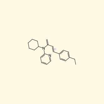 C=C(/C=C/c1ccc(CC)cc1)N(c1ccccn1)C1CCCCC1